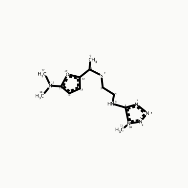 CC(SCCNc1nnnn1C)c1ccc(N(C)C)o1